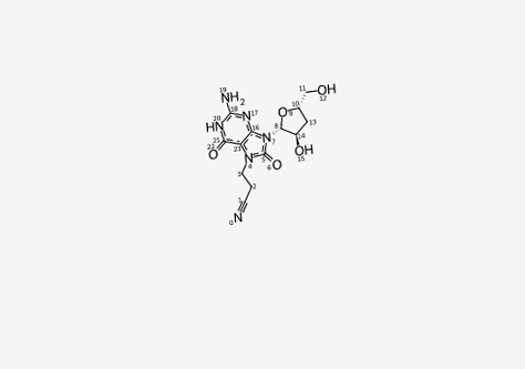 N#CCCn1c(=O)n([C@@H]2O[C@H](CO)C[C@H]2O)c2nc(N)[nH]c(=O)c21